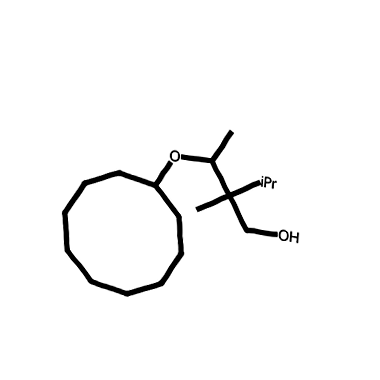 CC(C)C(C)(CO)C(C)OC1CCCCCCCCC1